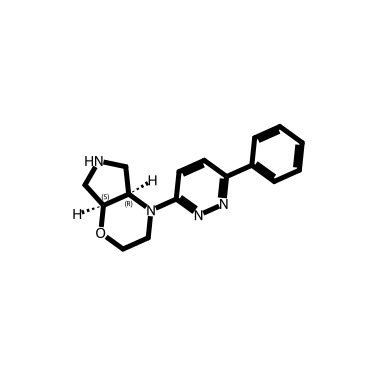 c1ccc(-c2ccc(N3CCO[C@H]4CNC[C@H]43)nn2)cc1